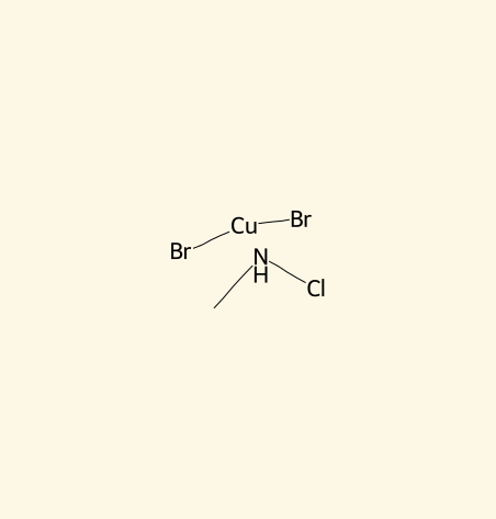 CNCl.[Br][Cu][Br]